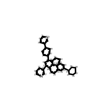 c1cncc(-c2ccc(-c3cc(-c4cccnc4)c4ccc5cc(C6CCCCC6)cc6ccc3c4c65)cc2)c1